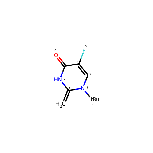 C=C1NC(=O)C(F)=CN1C(C)(C)C